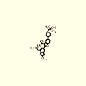 Cc1cc2cc(-c3[nH]c4ccc(C5CCN(CC(C)(C)O)CC5)cc4c3C(C)C)cc(CC(C)C)n2n1